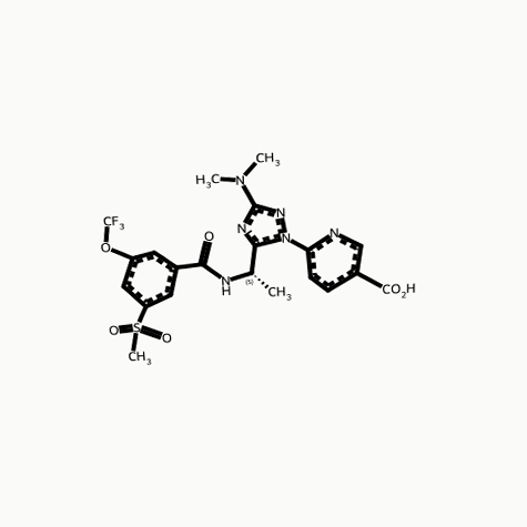 C[C@H](NC(=O)c1cc(OC(F)(F)F)cc(S(C)(=O)=O)c1)c1nc(N(C)C)nn1-c1ccc(C(=O)O)cn1